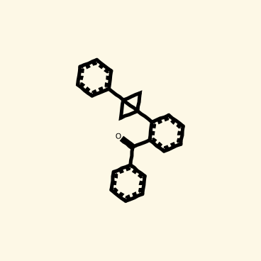 O=C(c1ccccc1)c1ccccc1C12CC1(c1ccccc1)C2